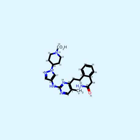 Cc1cnc(Nc2cnn(C3CCN(C(=O)O)CC3)c2)nc1CCc1ccccc1CC(N)=O